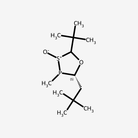 CP1[C@@H](CC(C)(C)C)OC(C(C)(C)C)[S+]1[O-]